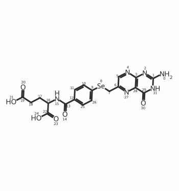 Nc1nc2ncc(C[Se]c3ccc(C(=O)NC(CCC(=O)O)C(=O)O)cc3)nc2c(=O)[nH]1